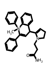 C[N+]1(c2ccccc2)C(c2ccccc2)=CC(C2=CCCN2CCC(N)=O)c2ccccc21